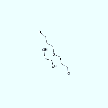 ClCCCOCCCCl.OCCO